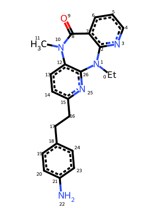 CCN1c2ncccc2C(=O)N(C)c2ccc(CCc3ccc(N)cc3)nc21